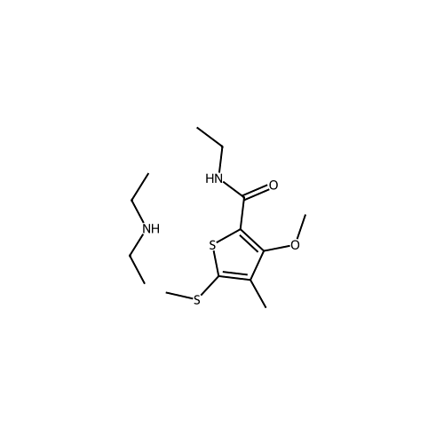 CCNC(=O)c1sc(SC)c(C)c1OC.CCNCC